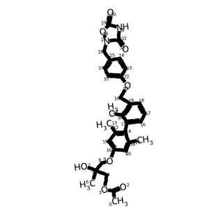 CC(=O)OCC(C)(O)COc1cc(C)c(-c2cccc(COc3ccc(Cn4oc(=O)[nH]c4=O)cc3)c2C)c(C)c1